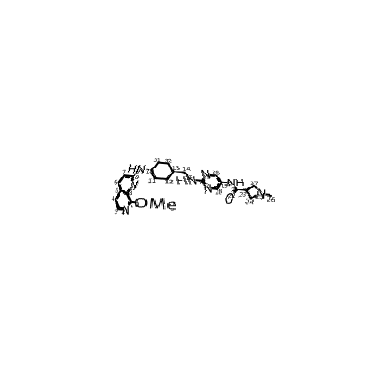 COc1nccc2ccc(N[C@H]3CC[C@H](CNc4ncc(NC(=O)C5CN(C)C5)cn4)CC3)nc12